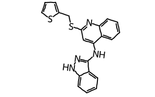 c1csc(CSc2cc(Nc3n[nH]c4ccccc34)c3ccccc3n2)c1